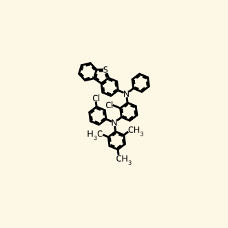 Cc1cc(C)c(N(c2cccc(Cl)c2)c2cccc(N(c3ccccc3)c3ccc4c(c3)sc3ccccc34)c2Cl)c(C)c1